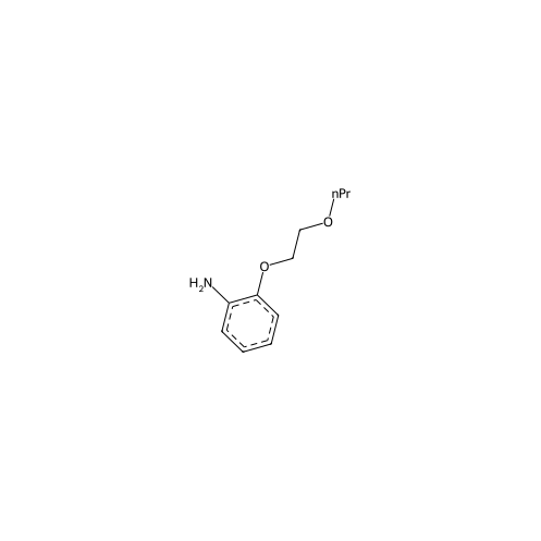 CCCOCCOc1ccccc1N